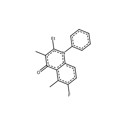 CCc1c(C)c(=O)c2c(C)c(F)ccc2n1-c1ccccc1